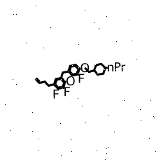 C=CCCc1cc2c(c(F)c1F)Oc1c(ccc(OCC3CCC(CCC)CC3)c1F)C2